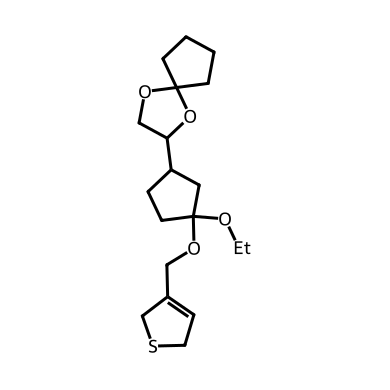 CCOC1(OCC2=CCSC2)CCC(C2COC3(CCCC3)O2)C1